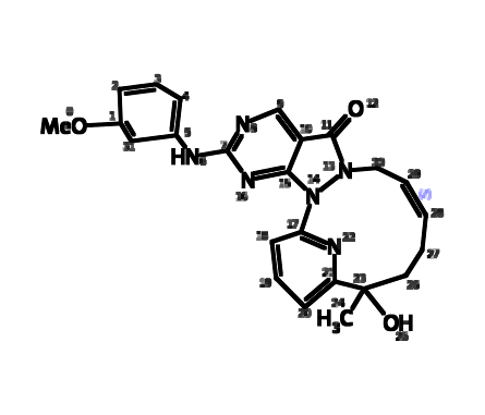 COc1cccc(Nc2ncc3c(=O)n4n(c3n2)-c2cccc(n2)C(C)(O)CC/C=C\C4)c1